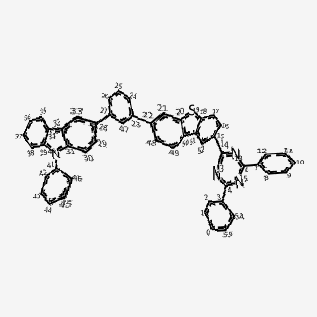 c1ccc(-c2nc(-c3ccccc3)nc(-c3ccc4sc5cc(-c6cccc(-c7ccc8c(c7)c7ccccc7n8-c7ccccc7)c6)ccc5c4c3)n2)cc1